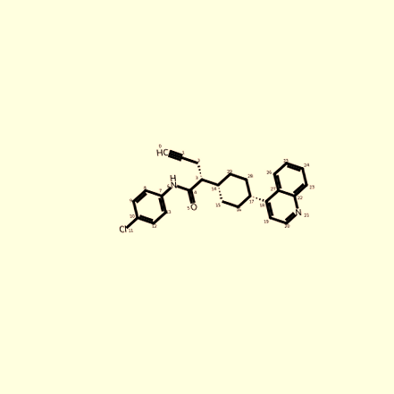 C#CC[C@@H](C(=O)Nc1ccc(Cl)cc1)[C@H]1CC[C@@H](c2ccnc3ccccc32)CC1